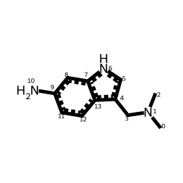 CN(C)Cc1c[nH]c2cc(N)ccc12